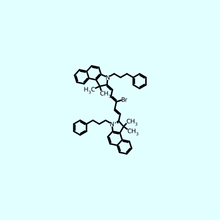 CC1(C)C(/C=C/C(Br)=C/C=C2/N(CCCc3ccccc3)c3ccc4ccccc4c3C2(C)C)=[N+](CCCc2ccccc2)c2ccc3ccccc3c21